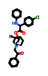 O=C(C[N+]12CCC(CC1)[C@@H](OC(=O)C(Nc1ccccc1)c1ccc(Cl)cc1)C2)c1ccccc1